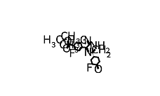 C=C(/N=C(\C(N)=N/C)c1ccc(C(=O)OC(C)(C)C)c(F)c1)[C@@H]1CCC(=O)[C@@H](F)C1